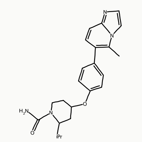 Cc1c(-c2ccc(OC3CCN(C(N)=O)C(C(C)C)C3)cc2)ccc2nccn12